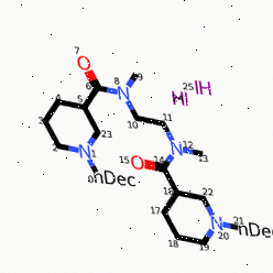 CCCCCCCCCCN1CCCC(C(=O)N(C)CCN(C)C(=O)C2CCCN(CCCCCCCCCC)C2)C1.I.I